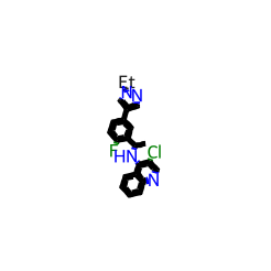 CCn1cc(-c2ccc(F)c(C(C)Nc3c(Cl)cnc4ccccc34)c2)cn1